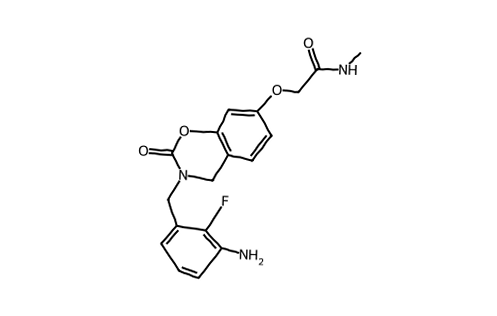 CNC(=O)COc1ccc2c(c1)OC(=O)N(Cc1cccc(N)c1F)C2